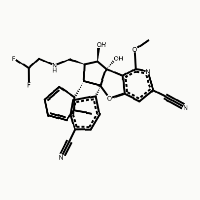 COc1nc(C#N)cc2c1[C@]1(O)[C@H](O)[C@H](CNCC(F)F)[C@@H](C3C=CC=CC3C)[C@]1(c1ccc(C#N)cc1)O2